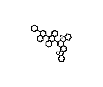 C1=CCCC(c2ccc(-c3c4c(c(C5=Cc6c(ccc7c6oc6ccccc67)C6c7ccccc7SC56)c5ccccc35)=CCCC=4)c3ccccc23)=C1